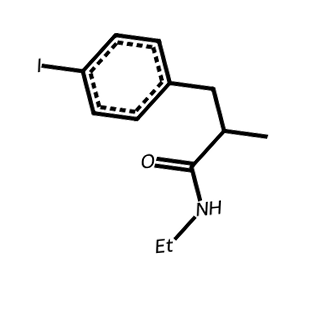 CCNC(=O)C(C)Cc1ccc(I)cc1